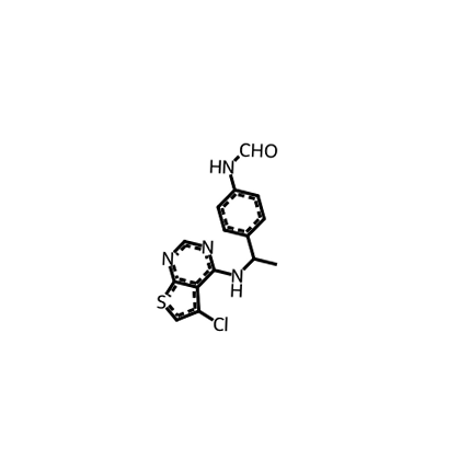 CC(Nc1ncnc2scc(Cl)c12)c1ccc(NC=O)cc1